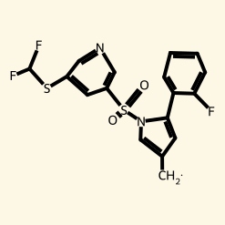 [CH2]c1cc(-c2ccccc2F)n(S(=O)(=O)c2cncc(SC(F)F)c2)c1